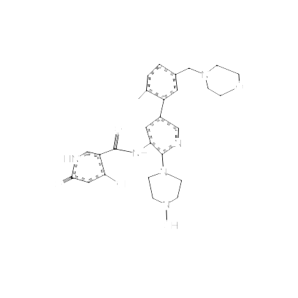 CN1CCN(c2ncc(-c3cc(CN4CCOCC4)ccc3F)cc2NC(=O)c2c[nH]c(=O)cc2C(F)(F)F)CC1